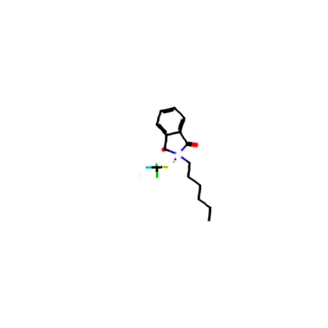 CCCCCC[N+]1(SC(F)(Cl)Cl)C(=O)c2ccccc2C1=O.Cl.Cl